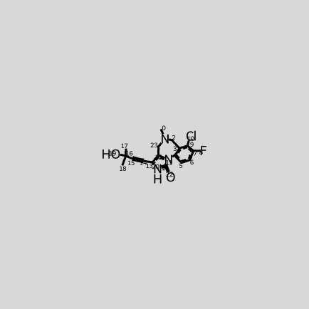 CN1Cc2c(ccc(F)c2Cl)-n2c(c(C#CC(C)(C)O)[nH]c2=O)C1